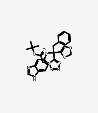 CC(C)(C)OC(=O)Cn1nnnc1C(Cc1ccccc1)(Nc1ccc2[nH]cnc2c1)C1=COCO1